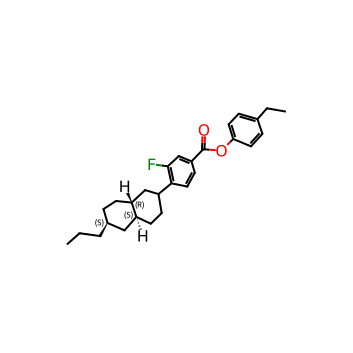 CCC[C@H]1CC[C@@H]2CC(c3ccc(C(=O)Oc4ccc(CC)cc4)cc3F)CC[C@H]2C1